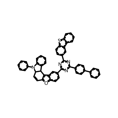 C1=CC2C(c3ccccc3N2c2ccccc2)c2c1oc1ccc(-c3nc(-c4ccc(-c5ccccc5)cc4)nc(-c4ccc5sc6ccccc6c5c4)n3)cc21